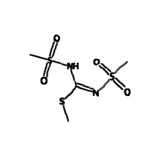 CSC(=NS(C)(=O)=O)NS(C)(=O)=O